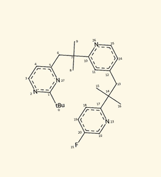 CC(C)(C)c1nccc(CC(C)(C)c2cc(CC(C)(C)c3ccc(F)cn3)ccn2)n1